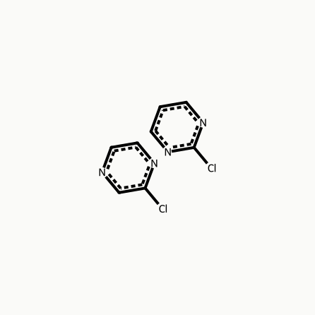 Clc1cnccn1.Clc1ncccn1